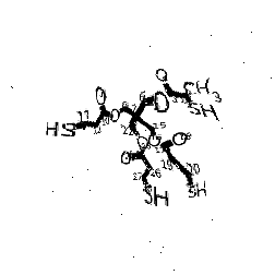 CC(S)C(=O)OCC(COC(=O)CCS)(COC(=O)CCS)COC(=O)CCS